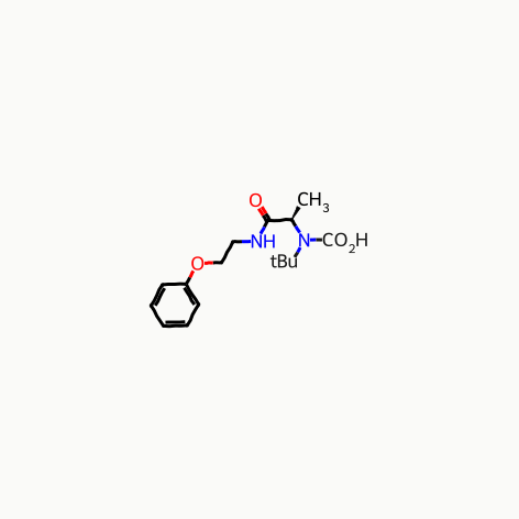 C[C@H](C(=O)NCCOc1ccccc1)N(C(=O)O)C(C)(C)C